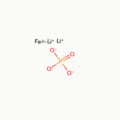 O=P([O-])([O-])[O-].[Fe+2].[Li+].[Li+]